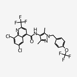 Cc1nn(Cc2ccc(OC(F)(F)F)cc2)c(C)c1NC(=O)c1cc(C(F)(F)F)nc2c(Cl)cc(Cl)cc12